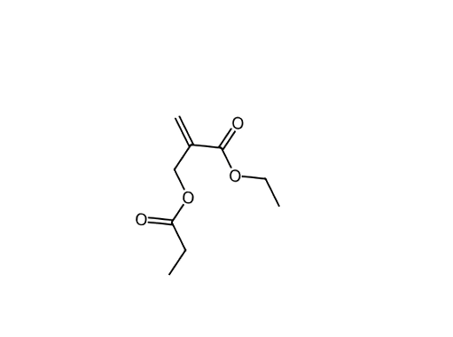 C=C(COC(=O)CC)C(=O)OCC